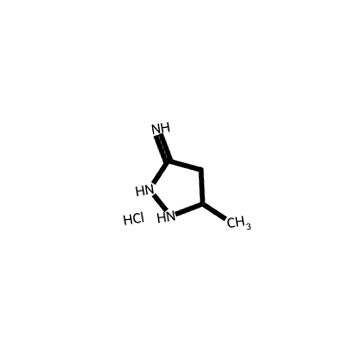 CC1CC(=N)NN1.Cl